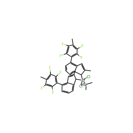 CC1=Cc2c(-c3c(F)c(F)c(C)c(F)c3F)cccc2[CH]1[Zr]([Cl])([Cl])([CH]1C(C)=Cc2c(-c3c(F)c(F)c(C)c(F)c3F)cccc21)[SiH](C)C